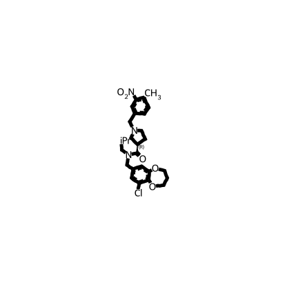 Cc1ccc(CN2CC[C@@H](C(=O)N(Cc3cc(Cl)c4c(c3)OCCCO4)CC(C)C)C2)cc1[N+](=O)[O-]